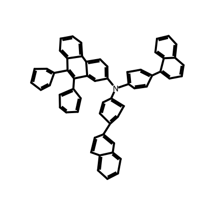 c1ccc(-c2c(-c3ccccc3)c3cc(N(c4ccc(-c5ccc6ccccc6c5)cc4)c4ccc(-c5cccc6ccccc56)cc4)ccc3c3ccccc23)cc1